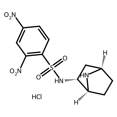 Cl.O=[N+]([O-])c1ccc(S(=O)(=O)N[C@@H]2C[C@H]3CC[C@@H]2N3)c([N+](=O)[O-])c1